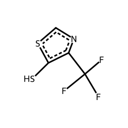 FC(F)(F)c1ncsc1S